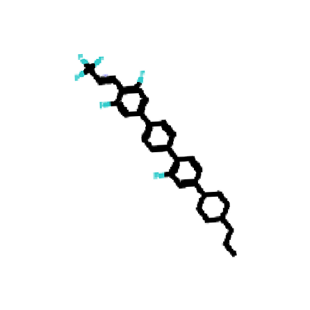 CCCC1CCC(c2ccc(-c3ccc(-c4cc(F)c(/C=C/C(F)(F)F)c(F)c4)cc3)c(F)c2)CC1